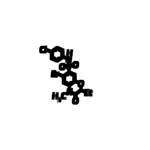 CCC1Oc2cc(S(=O)(=O)Nc3ccc(Cl)cc3)c(Br)cc2N(C)C1=O